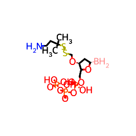 B[C@H]1C[C@@H](OCSSC(C)(C)CCN)C(COP(=O)(O)OP(=O)(O)OP(=O)(O)O)O1